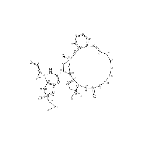 C=C[C@@H]1C[C@]1(NC(=O)[C@@H]1C[C@@H]2CN1C(=O)[C@H](C(C)(C)C)NC(=O)OCCCCC/C=C/c1cccnc1O2)C(=O)NS(=O)(=O)C1CC1